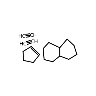 C#C.C#C.C1=CCCC1.C1CCC2CCCCC2C1